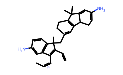 C=CC1=C(/C=C\C)c2cc(N)ccc2C1(C)CC1=CC2=C(CC1)C(C)(C)C1=CC(N)=CCC12